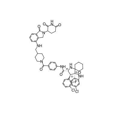 O=C1CCC(N2Cc3c(NCC4CCN(C(=O)c5ccc(NC(=O)[C@@H]6NC7(CCCCC7)[C@@]7(C(=O)Nc8cc(Cl)ccc87)[C@H]6c6cccc(Cl)c6F)cc5)CC4)cccc3C2=O)C(=O)N1